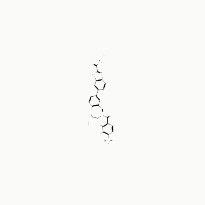 Cc1c(C(=O)N2CCOc3ccc(-c4ccc5nc(C(=O)NC(C)C)[nH]c5c4)cc3C2)ccc(S(C)(=O)=O)c1F